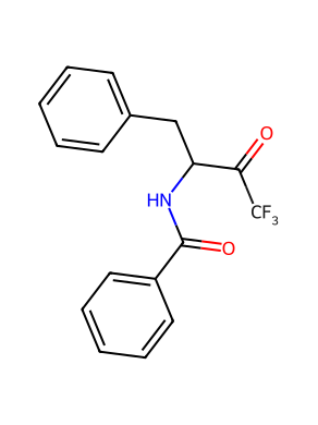 O=C(NC(Cc1ccccc1)C(=O)C(F)(F)F)c1ccccc1